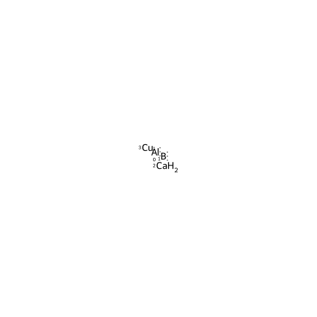 [Al].[B].[CaH2].[Cu]